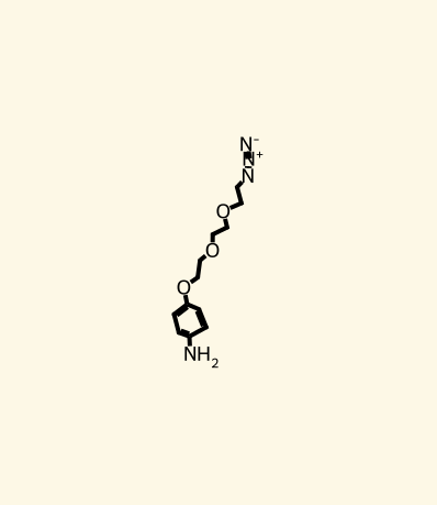 [N-]=[N+]=NCCOCCOCCOc1ccc(N)cc1